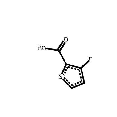 O=C(O)c1sccc1F